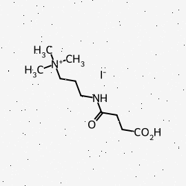 C[N+](C)(C)CCCNC(=O)CCC(=O)O.[I-]